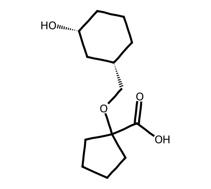 O=C(O)C1(OC[C@H]2CCC[C@@H](O)C2)CCCC1